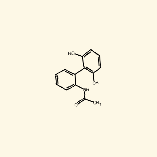 CC(=O)Nc1ccccc1-c1c(O)cccc1O